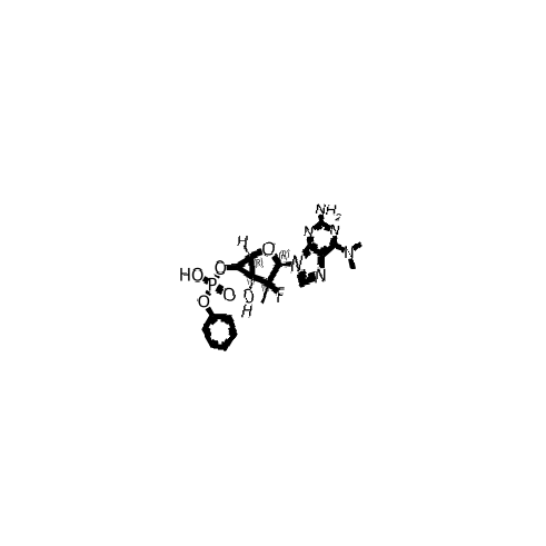 CN(C)c1nc(N)nc2c1ncn2[C@@H]1O[C@@H]2C(OP(=O)(O)Oc3ccccc3)[C@]2(O)[C@@]1(C)F